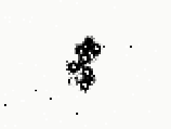 Clc1cccc2oc3ccc(N(c4ccccc4)c4ccc5c(c4)Sc4ccccc4C54c5ccccc5-c5ccccc54)cc3c12